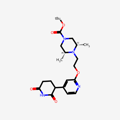 C[C@@H]1CN(C(=O)OC(C)(C)C)C[C@H](C)N1CCOc1cc(C2CCC(=O)NC2=O)ccn1